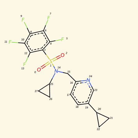 O=S(=O)(c1c(F)c(F)c(F)c(F)c1F)N(Cc1ccc(C2CC2)cn1)C1CC1